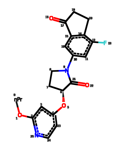 CCCOc1cc(O[C@@H]2CCN(c3cc(F)c4c(c3)C(=O)CC4)C2=O)ccn1